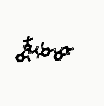 COc1ccccc1-n1nc(C(C)(C)C)cc1NC(=O)Nc1ccc(Oc2ccnc3[nH]c(=O)cnc23)cc1SC